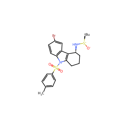 Cc1ccc(S(=O)(=O)n2c3c(c4cc(Br)ccc42)[C@@H](N[S@+]([O-])C(C)(C)C)CCC3)cc1